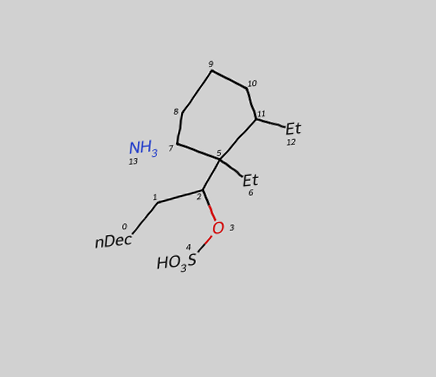 CCCCCCCCCCCC(OS(=O)(=O)O)C1(CC)CCCCC1CC.N